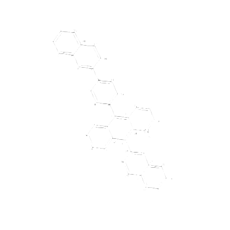 c1ccc2cc(-c3ccc(-c4c5ccccc5c(-c5ccc6ccccc6c5)c5ncccc45)cc3)ccc2c1